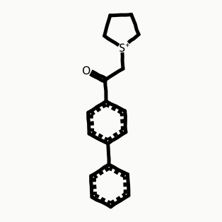 O=C(C[S+]1CCCC1)c1ccc(-c2ccccc2)cc1